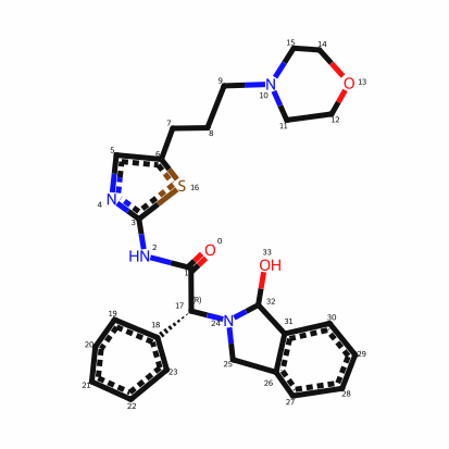 O=C(Nc1ncc(CCCN2CCOCC2)s1)[C@@H](c1ccccc1)N1Cc2ccccc2C1O